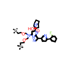 C[Si](C)(C)CCOCN(COCC[Si](C)(C)C)c1cc(C2CC3CCC(C2)N3C(=O)O)nc2c(-c3ccc(-c4ccccc4F)nc3)cnn12